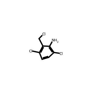 Nc1c(Cl)ccc(Cl)c1CCl